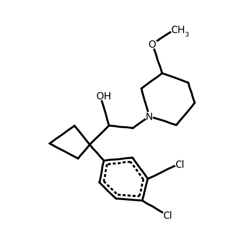 COC1CCCN(CC(O)C2(c3ccc(Cl)c(Cl)c3)CCC2)C1